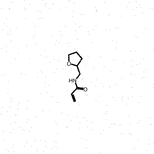 C=CC(=O)NCC1CCCO1